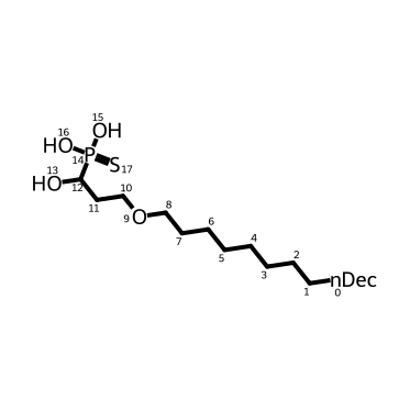 CCCCCCCCCCCCCCCCCCOCCC(O)P(O)(O)=S